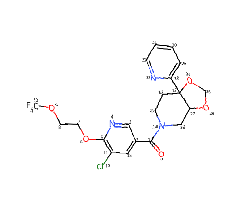 O=C(c1cnc(OCCOC(F)(F)F)c(Cl)c1)N1CCC2(c3ccccn3)OCOC2C1